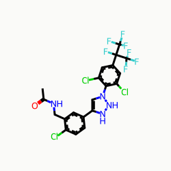 CC(=O)NCc1cc(C2=CN(c3c(Cl)cc(C(F)(C(F)(F)F)C(F)(F)F)cc3Cl)NN2)ccc1Cl